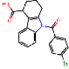 O=C(O)C1CCCc2c1c1ccccc1n2C(=O)c1ccc(Cl)cc1